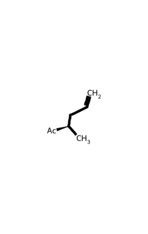 C=CC[C@@H](C)C(C)=O